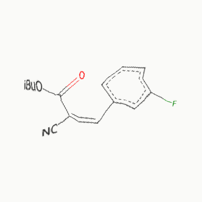 CC(C)COC(=O)C(C#N)=Cc1cccc(F)c1